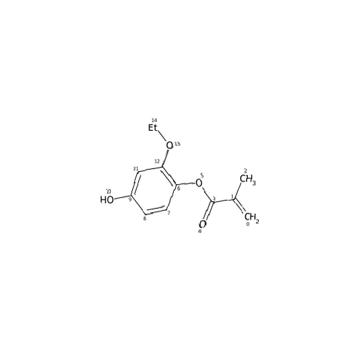 C=C(C)C(=O)Oc1ccc(O)cc1OCC